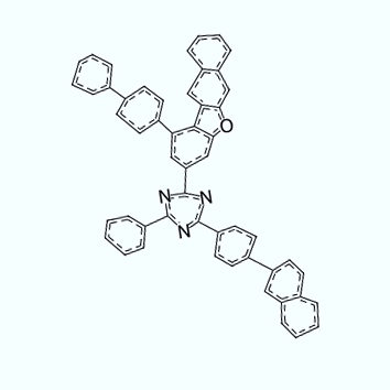 c1ccc(-c2ccc(-c3cc(-c4nc(-c5ccccc5)nc(-c5ccc(-c6ccc7ccccc7c6)cc5)n4)cc4oc5cc6ccccc6cc5c34)cc2)cc1